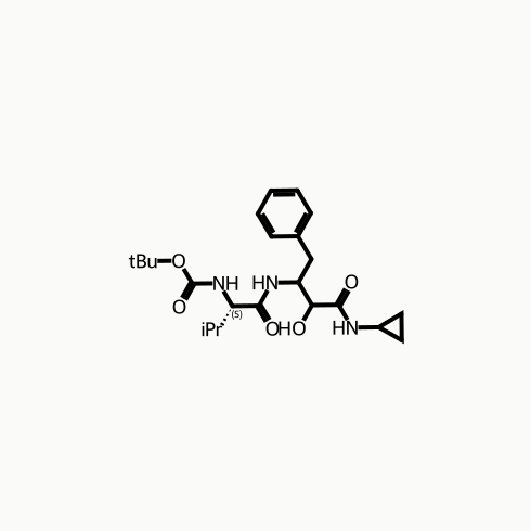 CC(C)[C@H](NC(=O)OC(C)(C)C)C(=O)NC(Cc1ccccc1)C(O)C(=O)NC1CC1